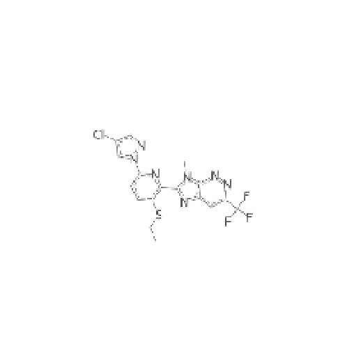 CCSc1ccc(-n2cc(Cl)cn2)nc1-c1nc2cc(C(F)(F)F)nnc2n1C